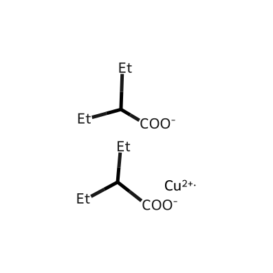 CCC(CC)C(=O)[O-].CCC(CC)C(=O)[O-].[Cu+2]